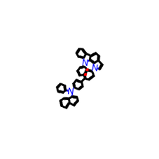 c1ccc(N(c2ccc(-c3ccc(-n4ccc5ccc6c7ccccc7n(-c7ccccc7)c6c54)cc3)cc2)c2cccc3ccccc23)cc1